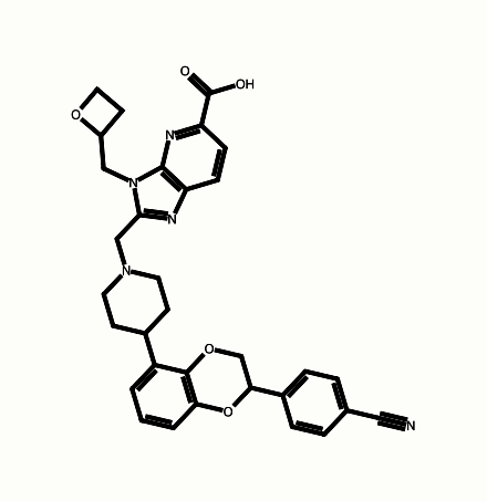 N#Cc1ccc(C2COc3c(cccc3C3CCN(Cc4nc5ccc(C(=O)O)nc5n4CC4CCO4)CC3)O2)cc1